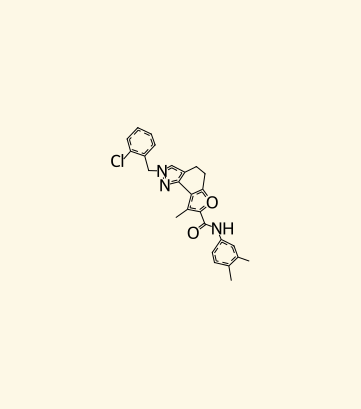 Cc1ccc(NC(=O)c2oc3c(c2C)-c2nn(Cc4ccccc4Cl)cc2CC3)cc1C